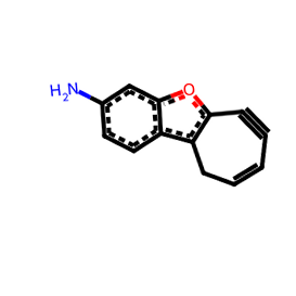 Nc1ccc2c3c(oc2c1)C#CC=CC3